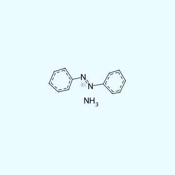 N.c1ccc(/N=N/c2ccccc2)cc1